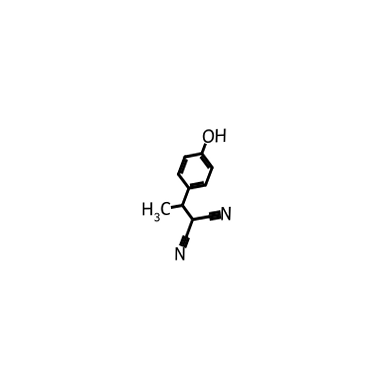 CC(c1ccc(O)cc1)C(C#N)C#N